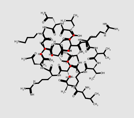 CC[C@H](C)[C@H](NC(=O)[C@H](C)NC(=O)[C@@H](N)CC(C)C)C(=O)N[C@@H](CCCNC(=N)N)C(=O)N[C@@H](CC(N)=O)C(=O)N[C@@H](CC(=O)O)C(=O)N[C@@H](CCC(=O)O)C(=O)N[C@@H](CCC(=O)O)C(=O)N[C@@H](CC(C)C)C(=O)N[C@@H](CC(N)=O)C(=O)N[C@@H](CCCCN)C(=O)N[C@@H](CC(C)C)C(=O)N[C@@H](CC(C)C)C(=O)NCC(=O)N[C@@H](CCCNC(=N)N)C(=O)N[C@H](C(=O)N[C@H](C(=O)N[C@H](C(=O)N[C@@H](C)C(=O)O)[C@@H](C)CC)[C@@H](C)O)C(C)C